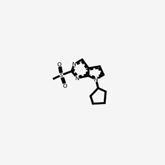 CS(=O)(=O)c1ncc2ccn(C3CCCC3)c2n1